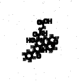 O=C(O)CCNC(=O)C1=C(O)c2cc(-c3ccccc3)c(=O)[nH]c2C(c2cccnc2)N1CC1CCOCC1